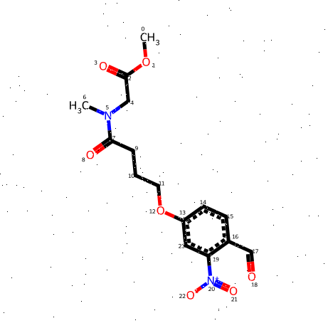 COC(=O)CN(C)C(=O)CCCOc1ccc(C=O)c([N+](=O)[O-])c1